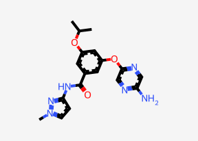 CC(C)Oc1cc(Oc2cnc(N)cn2)cc(C(=O)Nc2ccn(C)n2)c1